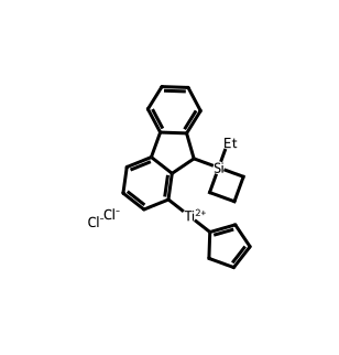 CC[Si]1(C2c3ccccc3-c3ccc[c]([Ti+2][C]4=CC=CC4)c32)CCC1.[Cl-].[Cl-]